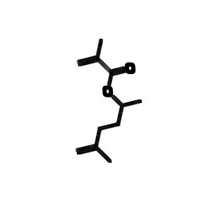 C=C(C)CCC(C)OC(=O)C(=C)C